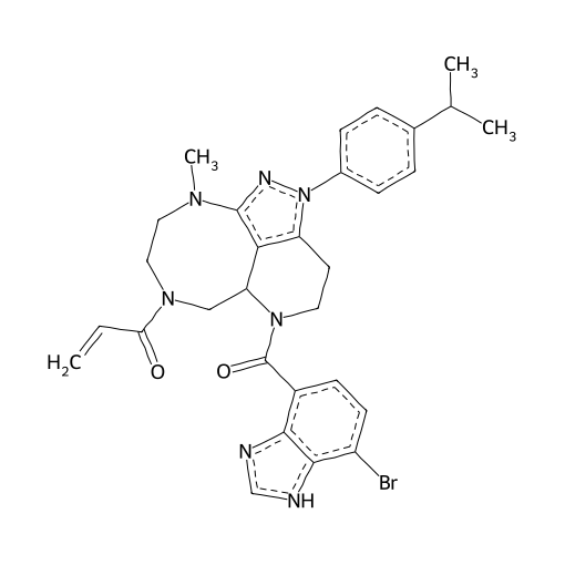 C=CC(=O)N1CCN(C)c2nn(-c3ccc(C(C)C)cc3)c3c2C(C1)N(C(=O)c1ccc(Br)c2[nH]cnc12)CC3